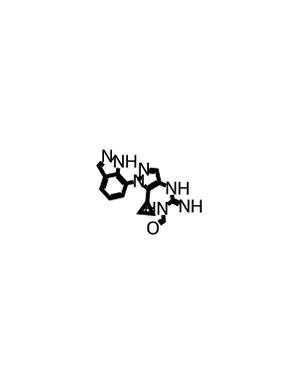 N=C(NC=O)Nc1cnn(-c2cccc3cn[nH]c23)c1C1CC1